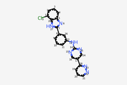 Clc1cccc2nc(-c3cccc(Nc4ncc(-c5cccnn5)cn4)c3)[nH]c12